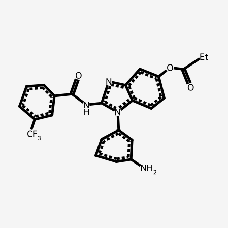 CCC(=O)Oc1ccc2c(c1)nc(NC(=O)c1cccc(C(F)(F)F)c1)n2-c1cccc(N)c1